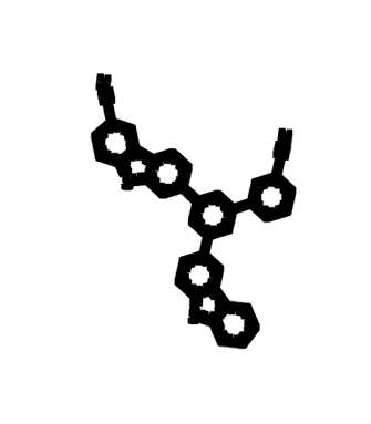 N#Cc1cccc(-c2cc(-c3ccc4c(c3)sc3ccc(C#N)cc34)cc(-c3ccc4sc5ccccc5c4c3)c2)c1